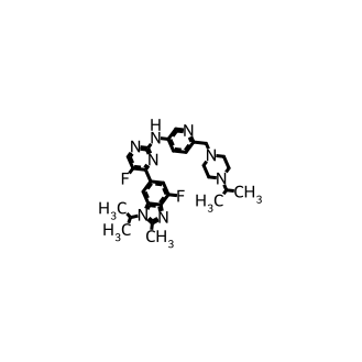 Cc1nc2c(F)cc(-c3nc(Nc4ccc(CN5CCN(C(C)C)CC5)nc4)ncc3F)cc2n1C(C)C